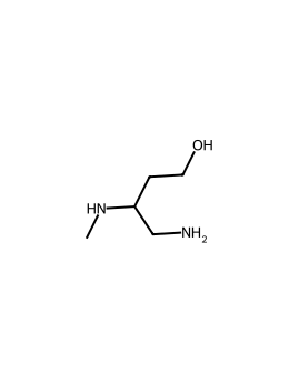 CNC(CN)CCO